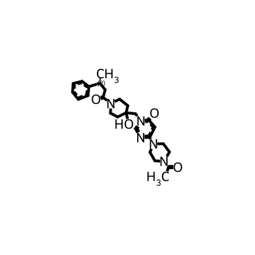 CC(=O)N1CCN(c2cc(=O)n(CC3(O)CCN(C(=O)C[C@@H](C)c4ccccc4)CC3)cn2)CC1